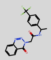 CC(NC(=O)Cn1nnc2ccccc2c1=O)c1ccc(C(F)(F)F)cc1